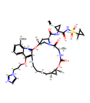 C=C[C@@H]1C[C@]1(NC(=O)[C@@H]1C[C@@H]2CN1C(=O)[C@H](C(C)(C)C)NC(=O)O[C@@H]1C[C@H]1CCCCCc1c(nc3c(OC)cccc3c1OCCCn1ccnc1)O2)C(=O)NS(=O)(=O)C1(C)CC1